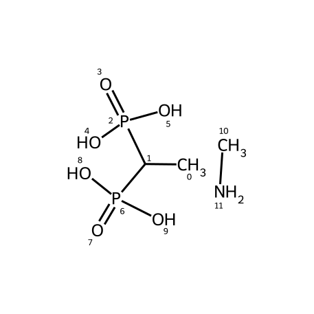 CC(P(=O)(O)O)P(=O)(O)O.CN